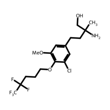 COc1cc(CCC(C)(N)CO)cc(Cl)c1OCCCC(F)(F)C(F)(F)F